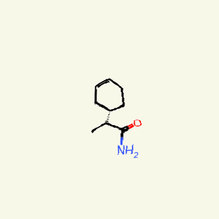 CC(C(N)=O)[C@@H]1CC=CCC1